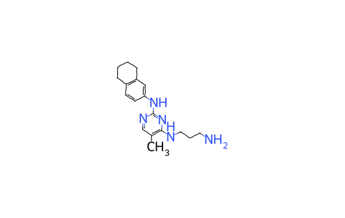 Cc1cnc(Nc2ccc3c(c2)CCCC3)nc1NCCCN